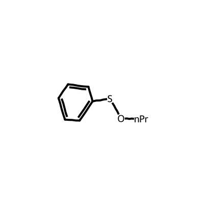 CCCOSc1ccccc1